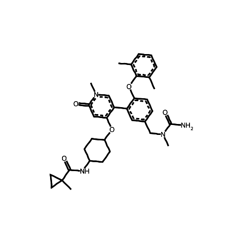 Cc1cccc(C)c1Oc1ccc(CN(C)C(N)=O)cc1-c1cn(C)c(=O)cc1OC1CCC(NC(=O)C2(C)CC2)CC1